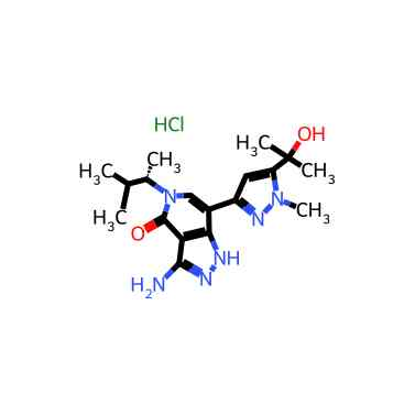 CC(C)[C@H](C)n1cc(-c2cc(C(C)(C)O)n(C)n2)c2[nH]nc(N)c2c1=O.Cl